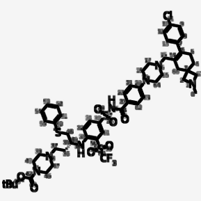 CN1CC2(CCC(c3ccc(Cl)cc3)=C(CN3CCN(c4ccc(C(=O)NS(=O)(=O)c5ccc(N[C@H](CCN6CCN(C(=O)OC(C)(C)C)CC6)CSc6ccccc6)c(S(=O)(=O)C(F)(F)F)c5)cc4)CC3)C2)C1